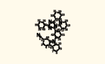 N#Cc1ccc2c3ccccc3n(-c3ccc(-c4cccnc4)c(-c4nc(-c5ccccc5)nc(-c5ccccc5)n4)c3)c2c1